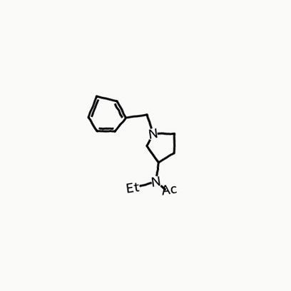 CCN(C(C)=O)C1CCN(Cc2ccccc2)C1